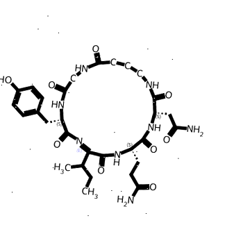 CCC(C)/C1=N\C(=O)[C@H](Cc2ccc(O)cc2)NC(=O)CNC(=O)CCCNC(=O)[C@H](CC(N)=O)NC(=O)[C@H](CCC(N)=O)NC1=O